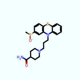 C[S+]([O-])c1ccc2c(c1)N(CCCN1CCC(C(N)=O)CC1)c1ccccc1S2